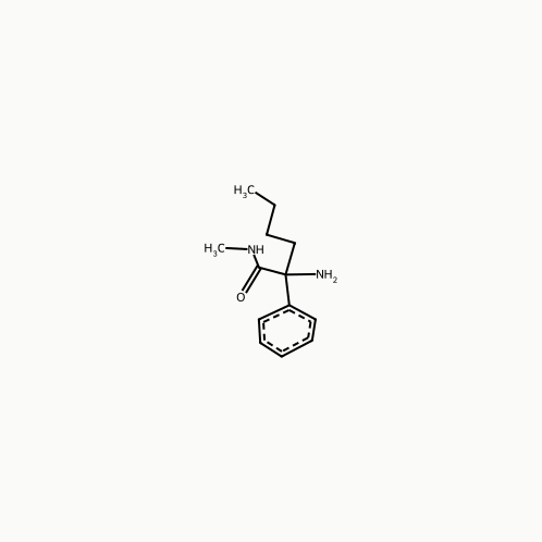 CCCCC(N)(C(=O)NC)c1ccccc1